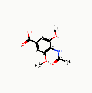 COc1cc(C(=O)O)cc(OC)c1NC(C)=O